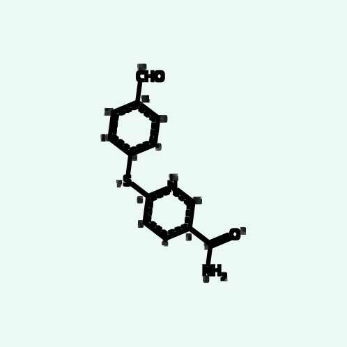 NC(=O)c1ccc(Sc2ccc(C=O)cc2)nc1